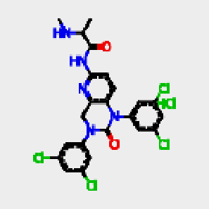 CN[C@@H](C)C(=O)Nc1ccc2c(n1)CN(c1cc(Cl)cc(Cl)c1)C(=O)N2c1cc(Cl)cc(Cl)c1.Cl